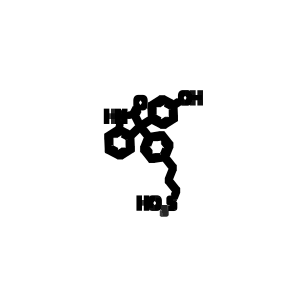 O=C1Nc2ccccc2C1(c1ccc(O)cc1)c1ccc(CCCS(=O)(=O)O)cc1